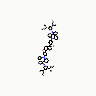 CCCC(CC)c1cc(C(CC)CCC)cc(-n2c3ccccc3c3c(N(c4ccccc4)c4ccc5c(c4)oc4ccc6c(ccc7oc8cc(N(c9ccccc9)c9cccc%10c9c9ccccc9n%10-c9cc(C(CC)CCC)cc(C(CC)CCC)c9)ccc8c76)c45)cccc32)c1